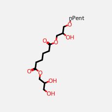 CCCCCOCC(O)COC(=O)CCCCC(=O)OCC(O)CO